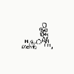 CNC(=O)N(C)C1CCC(n2c(C)nc3cnc4c(ccn4S(=O)(=O)c4ccccc4)c32)CC1